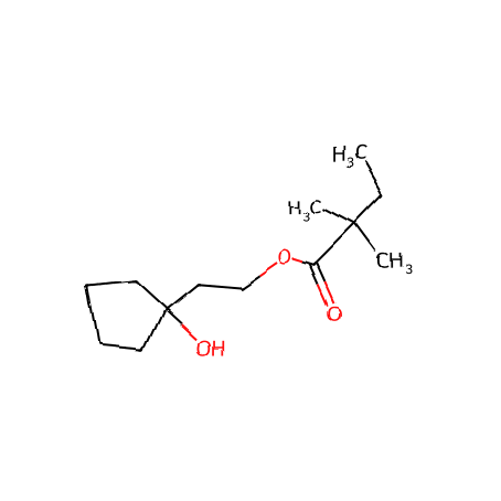 CCC(C)(C)C(=O)OCCC1(O)CCCC1